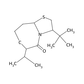 CC(C)C1CCCC2SCC(C(C)(C)C)N2C1=O